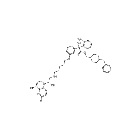 Cc1ccccc1C(O)(C(=O)OCC1CCN(Cc2ccccc2)CC1)c1cccc(OCCCCCNC[C@H](O)c2ccc(O)c3[nH]c(=O)ccc23)c1